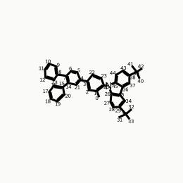 Cc1cc(-c2ccc(-c3ccccc3)c(-c3ccccc3)c2)ccc1-n1c2ccc(C(C)(C)C)cc2c2cc(C(C)(C)C)ccc21